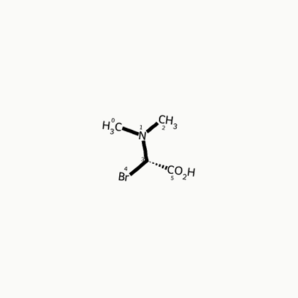 CN(C)[C@@H](Br)C(=O)O